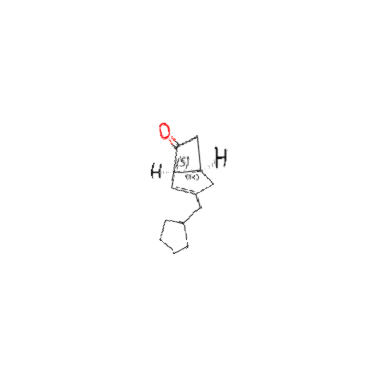 O=C1C[C@H]2CC(CC3CCCC3)=C[C@@H]12